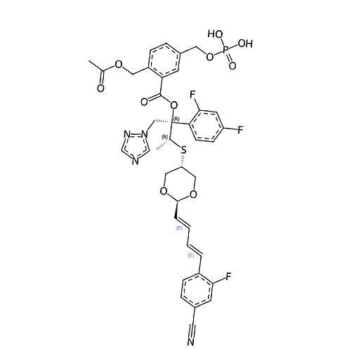 CC(=O)OCc1ccc(COP(=O)(O)O)cc1C(=O)O[C@@](Cn1cncn1)(c1ccc(F)cc1F)[C@@H](C)S[C@H]1CO[C@H](/C=C/C=C/c2ccc(C#N)cc2F)OC1